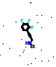 CCNCC#Cc1ccc(F)c(F)c1F